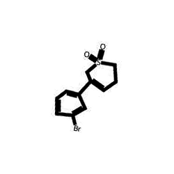 O=S1(=O)CCC=C(c2cccc(Br)c2)C1